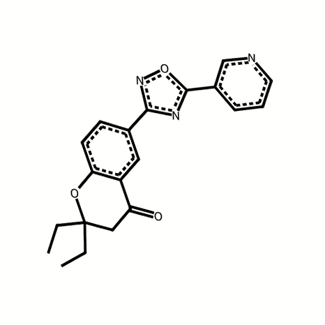 CCC1(CC)CC(=O)c2cc(-c3noc(-c4cccnc4)n3)ccc2O1